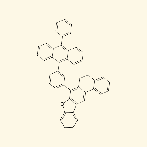 c1ccc(-c2c3ccccc3c(-c3cccc(-c4c5c(cc6c4oc4ccccc46)-c4ccccc4CC5)c3)c3ccccc23)cc1